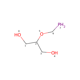 OCC(CO)OCP